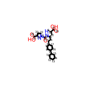 C[C@H](C[C@@H](CCc1ccc(-c2ccccc2)cc1)NC(=O)n1ccc(C(=O)O)n1)C(=O)O